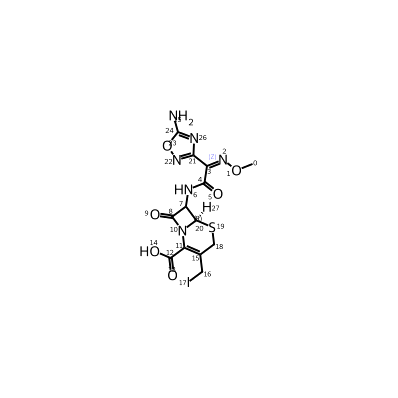 CO/N=C(\C(=O)NC1C(=O)N2C(C(=O)O)=C(CI)CS[C@H]12)c1noc(N)n1